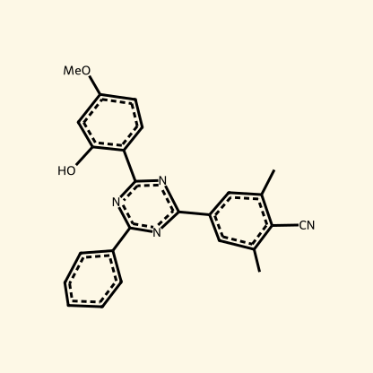 COc1ccc(-c2nc(-c3ccccc3)nc(-c3cc(C)c(C#N)c(C)c3)n2)c(O)c1